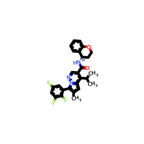 Cc1cc2c(C(C)C)c(C(=O)N[C@H]3CCOc4ccccc43)cnn2c1-c1cc(F)cc(F)c1F